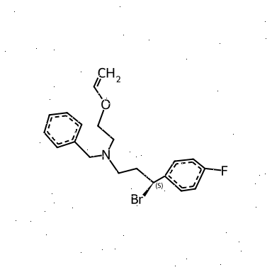 C=COCCN(CC[C@H](Br)c1ccc(F)cc1)Cc1ccccc1